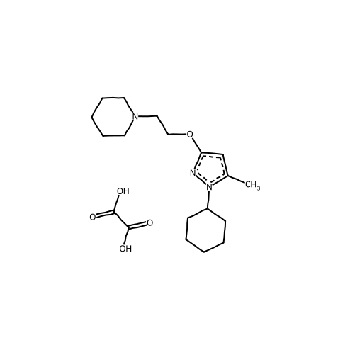 Cc1cc(OCCN2CCCCC2)nn1C1CCCCC1.O=C(O)C(=O)O